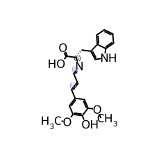 COc1cc(/C=C/C=N/[C@@H](Cc2c[nH]c3ccccc23)C(=O)O)cc(OC)c1O